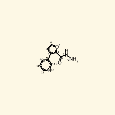 NNC(=O)c1occc1-c1cccnc1